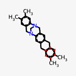 Cc1cc2c(cc1C)N1Cc3cc4c(cc3N(C2)C1)C1c2ccccc2C4c2cc(C)c(C)cc21